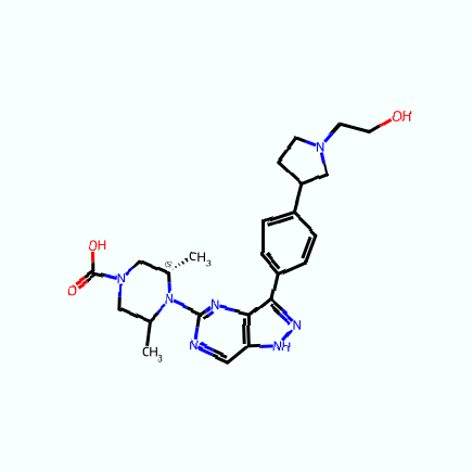 CC1CN(C(=O)O)C[C@H](C)N1c1ncc2[nH]nc(-c3ccc(C4CCN(CCO)C4)cc3)c2n1